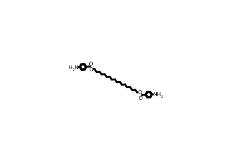 Nc1ccc(C(=O)OCCCCCCCCCCCCCCCCCCOC(=O)c2ccc(N)cc2)cc1